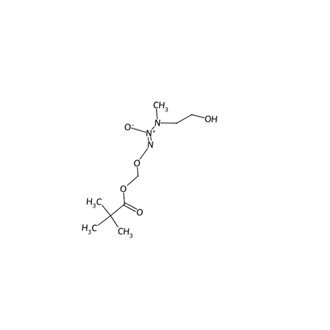 CN(CCO)/[N+]([O-])=N/OCOC(=O)C(C)(C)C